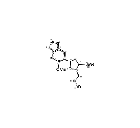 COc1cc2sccc2cc1[C@H]1CC(OC)[C@@H](COC(C)C)O1